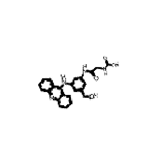 O=C(O)NCC(=O)Nc1cc(CO)cc(Nc2c3ccccc3nc3ccccc23)c1